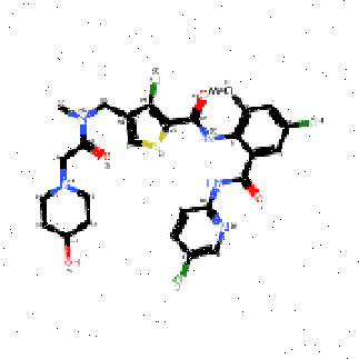 COc1cc(Cl)cc(C(=O)Nc2ccc(Cl)cn2)c1NC(=O)c1scc(CN(C)C(=O)CN2CCC(O)CC2)c1Cl